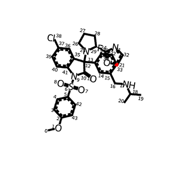 COc1ccc(S(=O)(=O)N2C(=O)C(c3cc(CNC(C)C)ccc3F)(N3CCC[C@H]3c3ncco3)c3cc(Cl)ccc32)cc1